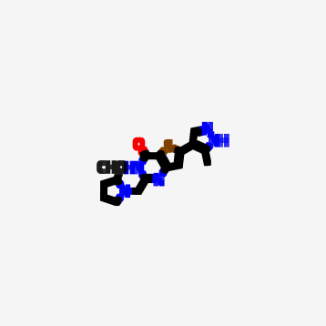 Cc1[nH]ncc1-c1cc2nc(CN3CCCC3C=O)[nH]c(=O)c2s1